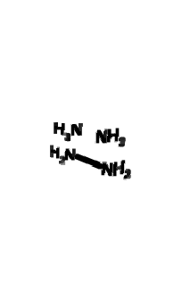 N.N.NN